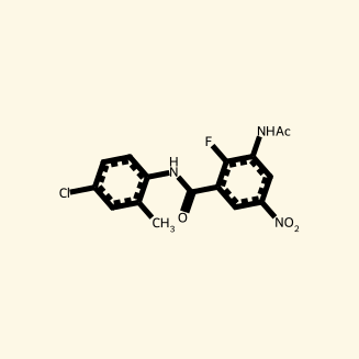 CC(=O)Nc1cc([N+](=O)[O-])cc(C(=O)Nc2ccc(Cl)cc2C)c1F